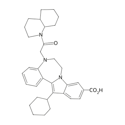 O=C(O)c1ccc2c(C3CCCCC3)c3n(c2c1)CCN(CC(=O)N1CCCC2CCCCC21)c1ccccc1-3